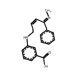 C/N=C(\C=C/CNc1cccc(C(=O)O)c1)c1ccccc1